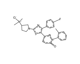 Cc1ccccc1-n1nc(-c2sc(N3CCC([N+](C)(C)[O-])C3)nc2-c2ccc(F)cc2)ccc1=O